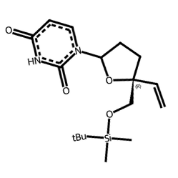 C=C[C@@]1(CO[Si](C)(C)C(C)(C)C)CCC(n2ccc(=O)[nH]c2=O)O1